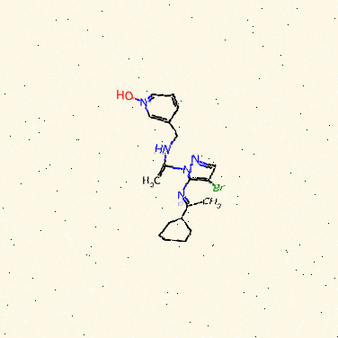 C=C(NCc1ccc[n+](O)c1)n1ncc(Br)c1/N=C(\C)C1CCCCC1